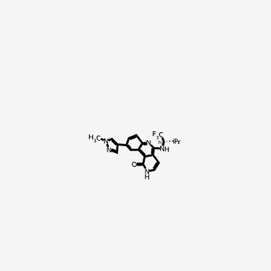 CC(C)[C@H](Nc1nc2ccc(-c3cnn(C)c3)cc2c2c(=O)[nH]ccc12)C(F)(F)F